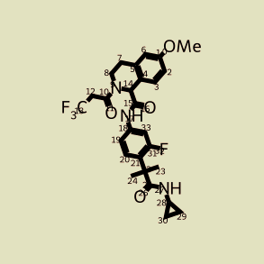 COc1ccc2c(c1)CCN(C(=O)CC(F)(F)F)C2C(=O)Nc1ccc(C(C)(C)C(=O)NC2CC2)c(F)c1